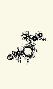 CC[C@H]1OC(=O)C(C)(C)[C@@H](O)[C@H](C)[C@@H](O[C@@H]2O[C@H](C)C[C@H](N(C)C(=O)N3CCOCC3)[C@H]2O)[C@](C)(OC)C[C@@H](C)C(=O)[C@H](C)[C@H]2N(CCCN(Cc3c(Cl)cncc3Cl)c3ccc(OC)c(OC4CCCC4)c3)C(=O)O[C@]12C